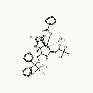 C=C1N[C@H]2[C@H](CO[Si](c3ccccc3)(c3ccccc3)C(C)(C)C)N/C(=N/C(=O)C(Cl)(Cl)Cl)N3[C@H](CC)C(OC(=O)c4ccccc4)C(O)(O)C23N1